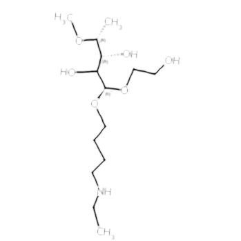 CCNCCCCO[C@H](OCCO)C(O)[C@@H](O)[C@@H](C)OC